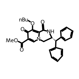 CCCCOc1c2n(cc(C(=O)OC)c1=O)C[C@@H](C(c1ccccc1)c1ccccc1)NC2=O